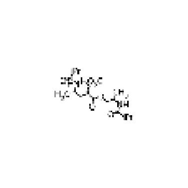 CC(C)C(=O)N[C@@H](C)COC(=O)C(=CC(=O)O)C[C@H](C)NC(=O)C(C)C